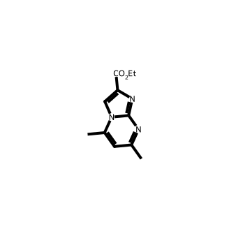 CCOC(=O)c1cn2c(C)cc(C)nc2n1